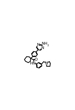 Nc1ncc(-c2ccc(C3(C(=O)Nc4cccc(CN5CCCC5)c4)CCCCCC3)cc2)cn1